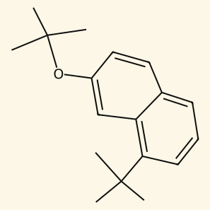 CC(C)(C)Oc1ccc2cccc(C(C)(C)C)c2c1